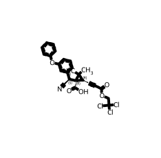 CC1(C)[C@H](C#CC(=O)OCC(Cl)(Cl)Cl)[C@@]1(C(=O)O)[C@@H](C#N)c1cccc(Oc2ccccc2)c1